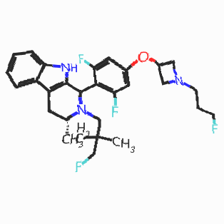 C[C@@H]1Cc2c([nH]c3ccccc23)C(c2c(F)cc(OC3CN(CCCF)C3)cc2F)N1CC(C)(C)CF